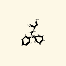 O=[C]C(=O)N=NN(c1ccccc1)c1ccccc1